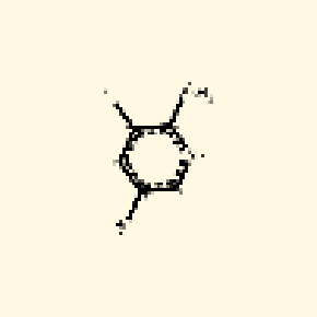 [AsH2]c1ncc(Br)cc1I